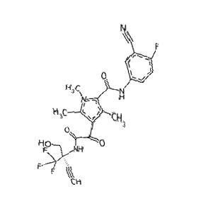 C#C[C@](CO)(NC(=O)C(=O)c1c(C)c(C(=O)Nc2ccc(F)c(C#N)c2)n(C)c1C)C(F)(F)F